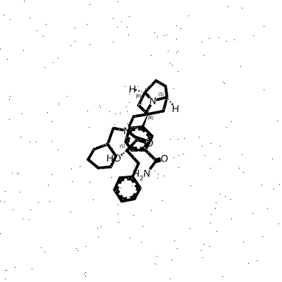 NC(=O)c1cccc([C@H]2C[C@H]3CC[C@@H](C2)N3CCN(CC2CCCCC2)C(=O)[C@@H](O)Cc2ccccc2)c1